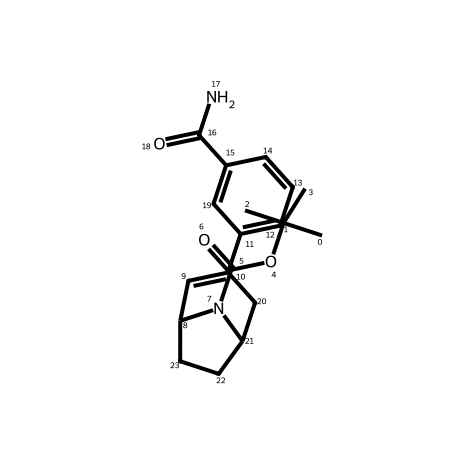 CC(C)(C)OC(=O)N1C2C=C(c3cccc(C(N)=O)c3)CC1CC2